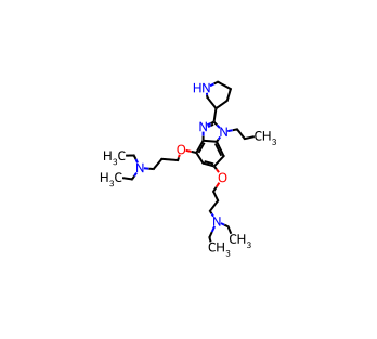 CCCn1c(C2CCCNC2)nc2c(OCCCN(CC)CC)cc(OCCCN(CC)CC)cc21